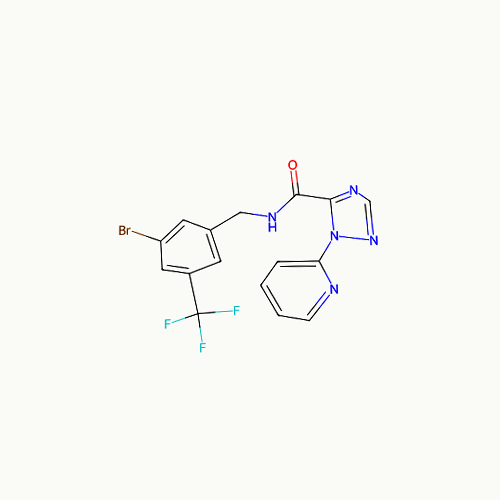 O=C(NCc1cc(Br)cc(C(F)(F)F)c1)c1ncnn1-c1ccccn1